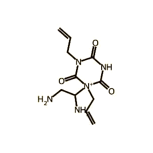 C=CCN1C(=O)NC(=O)[N+](CC=C)(C(N)CN)C1=O